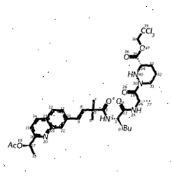 CC[C@H](C)[C@H](NC(=O)C(C)(C)/C=C/c1ccc2ccc([C@@H](C)OC(C)=O)nc2c1)C(=O)N[C@@H](C)C(=O)N1CCC[C@@H](C(=O)OCC(Cl)(Cl)Cl)N1